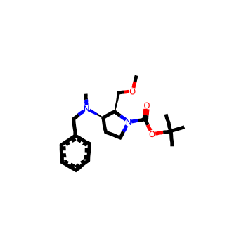 COC[C@@H]1[C@H](N(C)Cc2ccccc2)CCN1C(=O)OC(C)(C)C